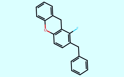 Fc1c(Cc2ccccc2)ccc2c1Cc1ccccc1O2